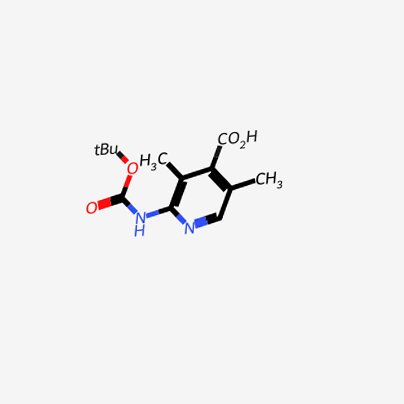 Cc1cnc(NC(=O)OC(C)(C)C)c(C)c1C(=O)O